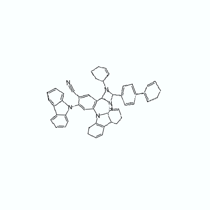 N#Cc1cc(C2NC(c3ccc(C4=CCCC=C4)cc3)N2C2C=CCCC2)c(N2C3=C(C=CCC3)C3CCC=CC32)cc1-n1c2ccccc2c2ccccc21